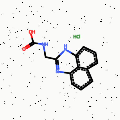 Cl.O=C(O)NCC1=Nc2cccc3cccc(c23)N1